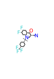 CC(C)(c1ccc(C(F)(F)F)cc1)n1cc(C#N)c(=O)c2cc(F)c(F)cc21